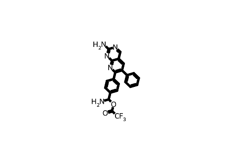 Nc1ncc2cc(-c3ccccc3)c(-c3ccc(C(N)OC(=O)C(F)(F)F)cc3)nc2n1